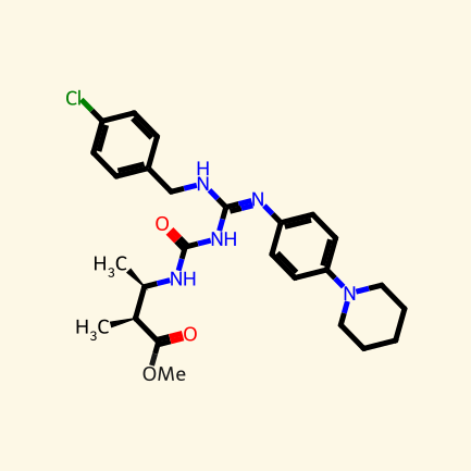 COC(=O)[C@@H](C)[C@@H](C)NC(=O)N/C(=N\c1ccc(N2CCCCC2)cc1)NCc1ccc(Cl)cc1